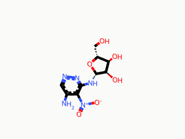 Nc1cnnc(N[C@@H]2O[C@H](CO)[C@@H](O)[C@H]2O)c1[N+](=O)[O-]